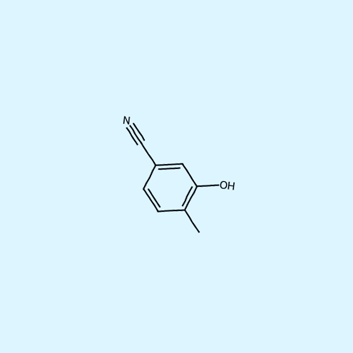 Cc1ccc(C#N)cc1O